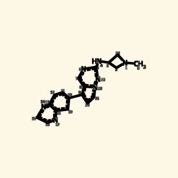 CN1CC(Nc2ncc3c(-c4ccc5nccnc5c4)ccn3n2)C1